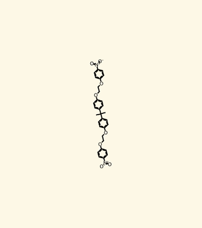 CC(C)(c1ccc(OCCOc2ccc([N+](=O)[O-])cc2)cc1)c1ccc(OCCOc2ccc([N+](=O)[O-])cc2)cc1